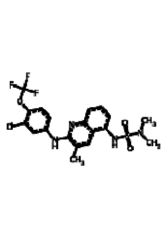 Cc1cc2c(NS(=O)(=O)N(C)C)cccc2nc1Nc1ccc(OC(F)(F)F)c(Cl)c1